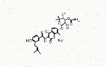 CO[C@@H]1[C@@H](OC(N)=O)[C@@H](O)[C@H](Oc2ccc3c([O-])c(NC(=O)c4ccc(O)c(CC=C(C)C)c4)c(=O)oc3c2C)OC1(C)C.[Na+]